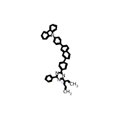 C=C/C=C(\C=C)c1nc(-c2ccccc2)nc(-c2ccc(-c3ccc4ccc(-c5ccc(-n6c7ccccc7c7ccccc76)cc5)cc4c3)cc2)n1